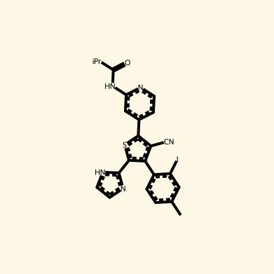 Cc1ccc(-c2c(-c3ncc[nH]3)sc(-c3ccnc(NC(=O)C(C)C)c3)c2C#N)c(I)c1